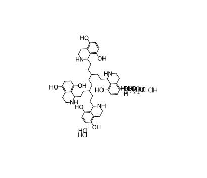 Cl.Cl.Cl.Cl.O.O.O.O.Oc1ccc(O)c2c1CCNC2CCC(CCC(CCC1NCCc2c(O)ccc(O)c21)CCC1NCCc2c(O)ccc(O)c21)CCC1NCCc2c(O)ccc(O)c21